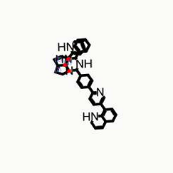 C1=CCCC(C2NC(C3=C\CC/C=C(C4=CC=CCN4)/C=C\3)=NC(C3C=CC(c4ccc(C5=C6NCC=CC6CC=C5)cn4)=CC3)N2)=C1